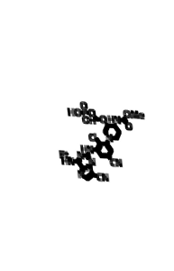 CCNc1nc(Nc2cc(C#N)cc(N3CC[C@@H](NC(=O)OC)[C@H](OCOP(=O)(O)O)C3)c2Cl)nn2c(C#N)cnc12